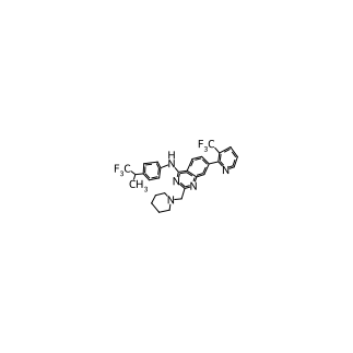 CC(c1ccc(Nc2nc(CN3CCCCC3)nc3cc(-c4ncccc4C(F)(F)F)ccc23)cc1)C(F)(F)F